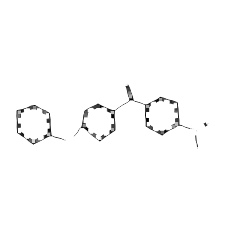 O=C(c1ccc(Oc2ccccc2)cc1)c1ccc([N+](=O)[O-])cc1